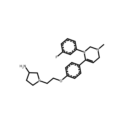 CN1CC=C(c2ccc(OCCN3CCC(N)C3)cc2)N(c2cccc(F)c2)C1